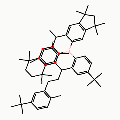 Cc1cc(C)c2c(c1)C(CCc1cc(C(C)(C)C)ccc1C)c1cc(C(C)(C)C)ccc1B2c1cc2c(cc1C(C)c1cc3c(cc1C)C(C)(C)CCC3(C)C)C(C)(C)CC2(C)C